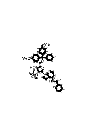 COc1ccc(C(OC[C@H]2O[C@@H](n3ccc4c(NC(=O)c5ccccc5)ncnc43)[C@H](O[Si](C)(C)C(C)(C)C)[C@H]2O)(c2ccccc2)c2ccc(OC)cc2)cc1